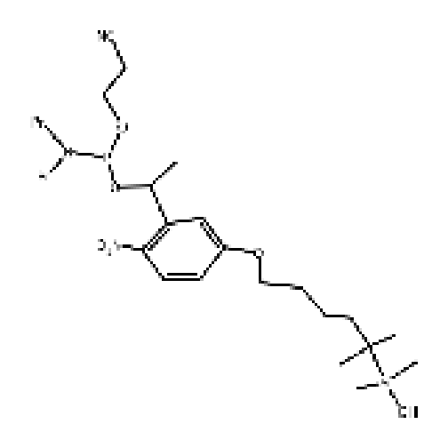 CC(OP(OCCC#N)N(C(C)C)C(C)C)c1cc(OCCCCC(C)(C)[Si](C)(C)O)ccc1[N+](=O)[O-]